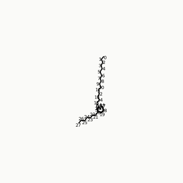 CCCCCCCCCCCCCCCC[n+]1cccc(CCCCCCC)c1